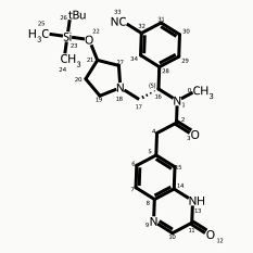 CN(C(=O)Cc1ccc2ncc(=O)[nH]c2c1)[C@H](CN1CCC(O[Si](C)(C)C(C)(C)C)C1)c1cccc(C#N)c1